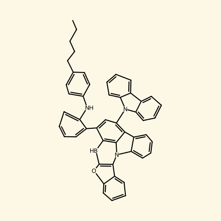 CCCCCc1ccc(Nc2ccccc2-c2cc(-n3c4ccccc4c4ccccc43)c3c4ccccc4n4c3c2Bc2oc3ccccc3c2-4)cc1